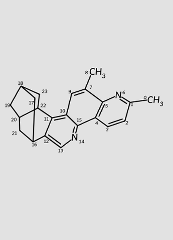 Cc1ccc2c(n1)c(C)cc1c3c(cnc12)C1CC2CC(C1)C3C2